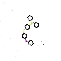 c1ccc([I+]c2ccc(Sc3ccc([S+](c4ccccc4)c4ccccc4)cc3)cc2)cc1